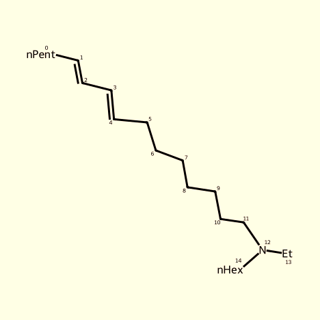 CCCCC/C=C/C=C/CCCCCCCN(CC)CCCCCC